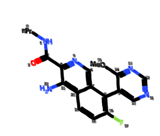 CCCNC(=O)c1ncc2c(-c3cncnc3OC)c(F)ccc2c1N